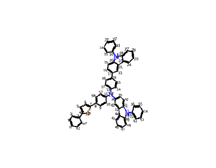 c1ccc(-c2ccc(-c3ccc(N(c4ccc(-c5ccc6c(c5)c5ccccc5n6-c5ccccc5)cc4)c4ccc5c(c4)c4ccccc4n5-c4ccccc4)cc3)s2)cc1